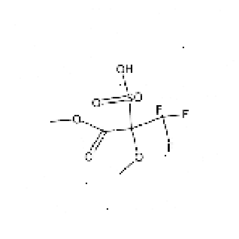 COC(=O)C(OC)(C(F)(F)F)S(=O)(=O)O